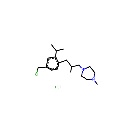 CC(Cc1ccc(CCl)cc1C(C)C)CN1CCN(C)CC1.Cl